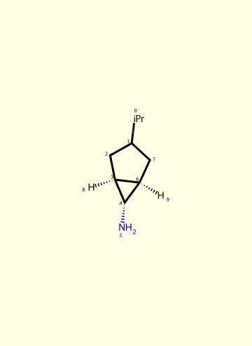 CC(C)C1C[C@@H]2[C@@H](N)[C@@H]2C1